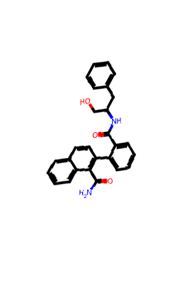 NC(=O)c1c(-c2ccccc2C(=O)NC(CO)Cc2ccccc2)ccc2ccccc12